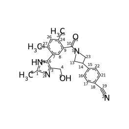 Cc1nc(CO)c(-c2cc(C(=O)N3CC(c4ccc(C#N)cc4)C3)c(C)cc2C)[nH]1